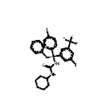 O=C(NC1CCCCC1)N[C@@](Cc1ccccc1)(c1cc(F)cc(C(F)(F)F)c1)c1ccc(I)cn1